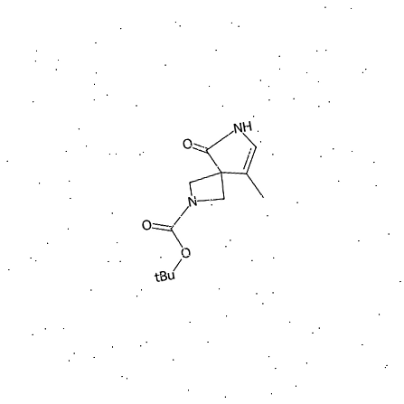 CC1=CNC(=O)C12CN(C(=O)OC(C)(C)C)C2